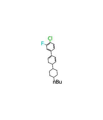 CCCCC1CCC(C2C=CC(c3ccc(Cl)c(F)c3)=CC2)CC1